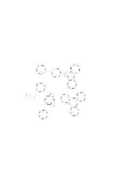 CCc1c(-c2ccccc2)nc(-c2ccc3c(c2)c2ccccc2c2cccc(-c4ccc5c(c4)c4ccccc4n5-c4ccc(-c5ccccc5)cc4)c23)nc1-c1ccccc1